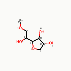 CCOCC(O)C1OC[C@@H](O)C1O